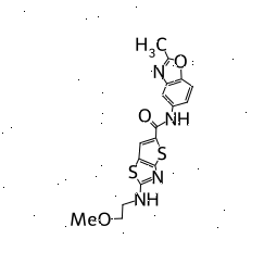 COCCNc1nc2sc(C(=O)Nc3ccc4oc(C)nc4c3)cc2s1